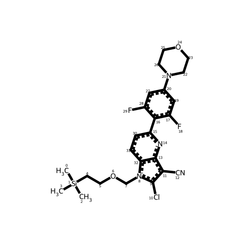 C[Si](C)(C)CCOCn1c(Cl)c(C#N)c2nc(-c3c(F)cc(N4CCOCC4)cc3F)ccc21